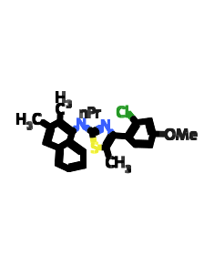 CCCN(c1nc(-c2ccc(OC)cc2Cl)c(C)s1)c1c(C)c(C)cc2ccccc12